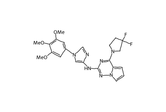 COc1cc(-n2cnc(Nc3nc(N4CCC(F)(F)C4)c4cccn4n3)c2)cc(OC)c1OC